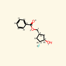 O=C(OC[C@H]1C[C@@H](O)[C@H](F)C1)c1ccccc1